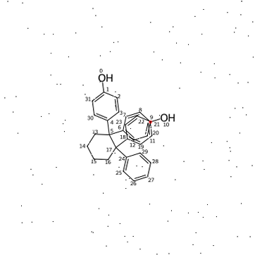 Oc1ccc(C2(c3ccc(O)cc3)CCCCC2(c2ccccc2)c2ccccc2)cc1